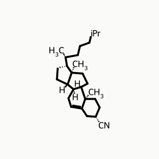 CC(C)CCC[C@@H](C)[C@H]1CC[C@H]2[C@@H]3CC=C4C[C@@H](C#N)CC[C@]4(C)[C@H]3CC[C@]12C